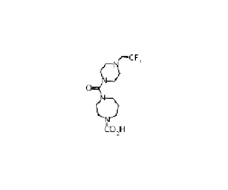 O=C(O)N1CCCN(C(=O)N2CCN(CC(F)(F)F)CC2)CC1